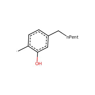 [CH2]c1ccc(CCCCCC)cc1O